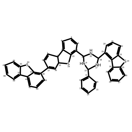 C1=CC2c3cccc(C4NC(c5ccccc5)NC(c5cccc6sc7ccccc7c56)N4)c3SC2C=C1c1cccc2c1sc1ccccc12